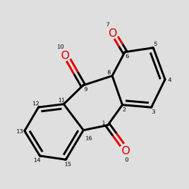 O=C1C2=CC=CC(=O)C2C(=O)c2ccccc21